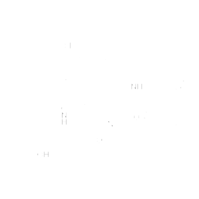 CC(O)CNc1cc(Cl)cc(NCC(C)O)c1[N+](=O)[O-]